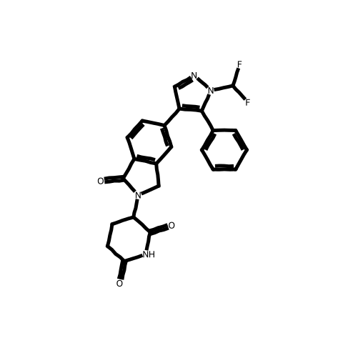 O=C1CCC(N2Cc3cc(-c4cnn(C(F)F)c4-c4ccccc4)ccc3C2=O)C(=O)N1